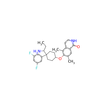 CCC(N)C1(c2cc(F)cc(F)c2)CCC(Oc2c(C)cc3c(=O)[nH]ccc3c2C)CC1